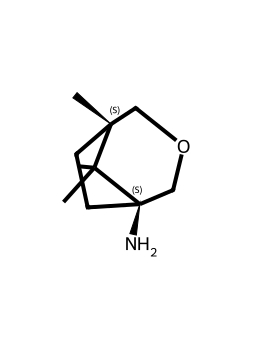 CC1(C)[C@]2(C)CC[C@@]1(N)COC2